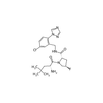 CC(C)(C)C[C@@H](N)C(=O)N1C[C@H](F)C[C@H]1C(=O)NCc1cc(Cl)ccc1-n1cncn1